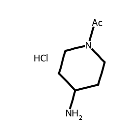 CC(=O)N1CCC(N)CC1.Cl